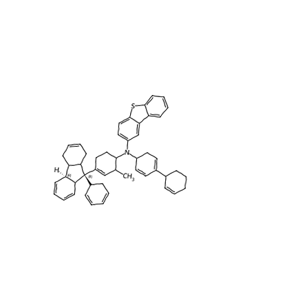 CC1C=C([C@@]2(C3C=CC=CC3)C3CC=CCC3[C@@H]3C=CC=CC32)CCC1N(c1ccc2sc3ccccc3c2c1)C1C=CC(C2C=CCCC2)=CC1